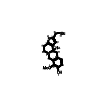 COc1c(O)ccc2c1CN1CCc3sc(CC(C)(C)C)cc3[C@@H]1C2